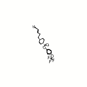 N#CC=CCC[C@H]1CC[C@H](C(=O)Oc2ccc(OC(F)(F)F)cc2)CC1